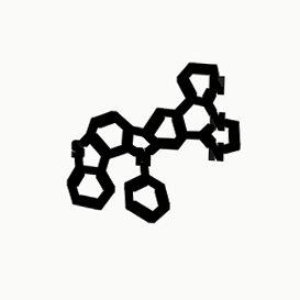 c1ccc(-n2c3cc4c(cc3c3ccc5sc6ccccc6c5c32)c2cccnc2n2ccnc42)cc1